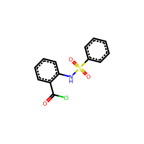 O=C(Cl)c1ccccc1NS(=O)(=O)c1ccccc1